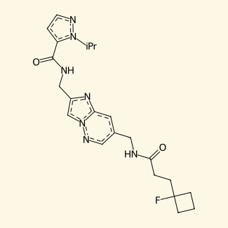 CC(C)n1nccc1C(=O)NCc1cn2ncc(CNC(=O)CCC3(F)CCC3)cc2n1